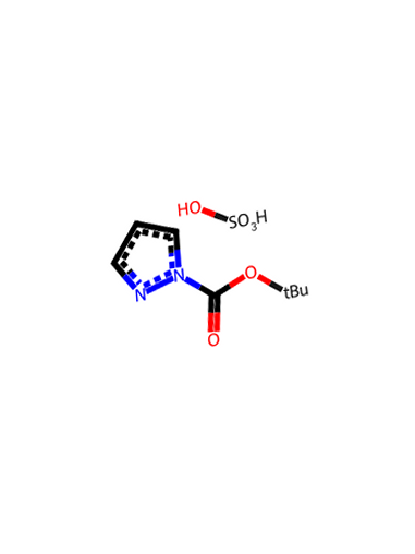 CC(C)(C)OC(=O)n1cccn1.O=S(=O)(O)O